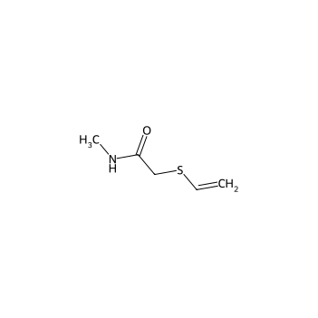 C=CSCC(=O)NC